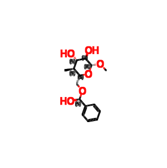 CO[C@@H]1O[C@H](CO[C@H](O)c2ccccc2)[C@@H](C)[C@H](O)[C@H]1O